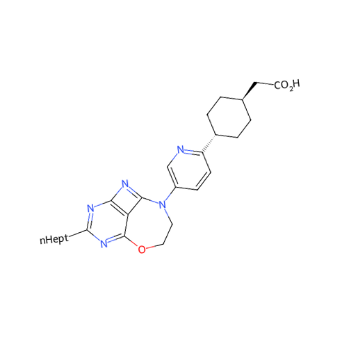 CCCCCCCc1nc2c3c(n1)OCCN(c1ccc([C@H]4CC[C@H](CC(=O)O)CC4)nc1)C3=N2